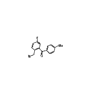 CC(C)(C)c1ccc(C(=O)c2cc(F)ccc2CBr)cc1